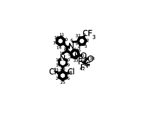 FC(F)(F)c1cccc(Cn2c(-c3ccccc3)c(CN3CCC(c4c(Cl)cccc4Cl)CC3)c3ccccc32)c1.O=C(O)C(F)(F)F